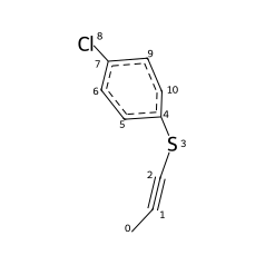 CC#CSc1ccc(Cl)cc1